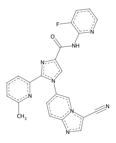 Cc1cccc(-c2nc(C(=O)Nc3ncccc3F)cn2-c2ccc3ncc(C#N)n3c2)n1